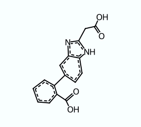 O=C(O)Cc1nc2cc(-c3ccccc3C(=O)O)ccc2[nH]1